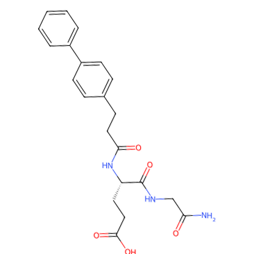 NC(=O)CNC(=O)[C@H](CCC(=O)O)NC(=O)CCc1ccc(-c2ccccc2)cc1